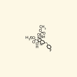 CCOC(=O)C(=O)Nc1nc(C(=O)OC)c(O)c2ncc(Cc3ccc(F)cc3)cc12